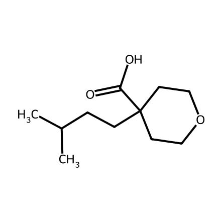 CC(C)CCC1(C(=O)O)CCOCC1